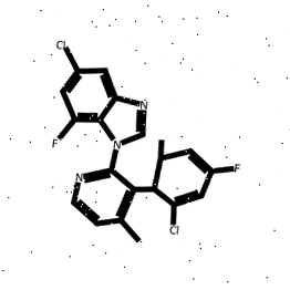 Cc1ccnc(-n2cnc3cc(Cl)cc(F)c32)c1C1C(Cl)=CC(F)=CC1C